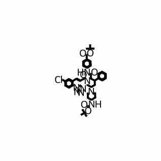 CC(C)(C)OC(=O)NC1CCN(C2CC(c3ccccc3)C(C(=O)Nc3ccc(C(=O)OC(C)(C)C)cc3)N(C(=O)/C=C/c3cc(Cl)ccc3-n3cnnn3)C2)CC1